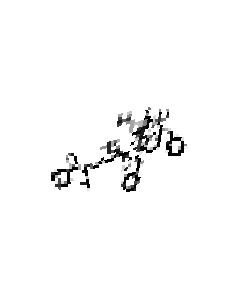 CNC(=O)[C@H](Cc1ccccc1)N1CC[C@](CCc2ccccc2)(NC(=O)[C@@H](S)CCCCNC(=O)c2ccncc2)C1=O